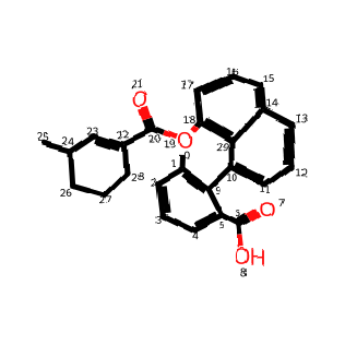 Cc1cccc(C(=O)O)c1-c1cccc2cccc(OC(=O)C3=CC(C)CCC3)c12